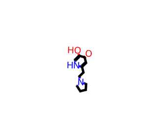 O=c1cc(CCN2CCCC2)[nH]cc1O